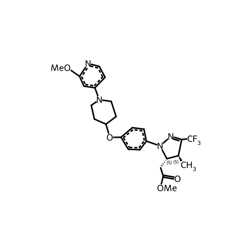 COC(=O)C[C@H]1[C@H](C)C(C(F)(F)F)=NN1c1ccc(OC2CCN(c3ccnc(OC)c3)CC2)cc1